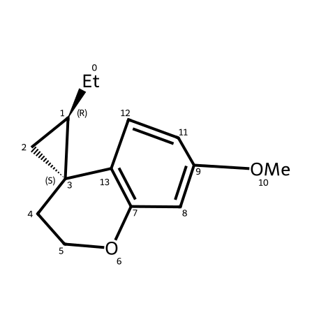 CC[C@@H]1C[C@]12CCOc1cc(OC)ccc12